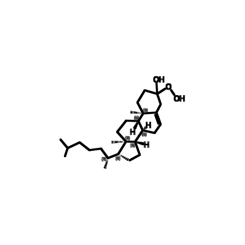 CC(C)CCC[C@@H](C)[C@H]1CC[C@H]2[C@@H]3CC=C4CC(O)(OO)CC[C@]4(C)[C@H]3CC[C@]12C